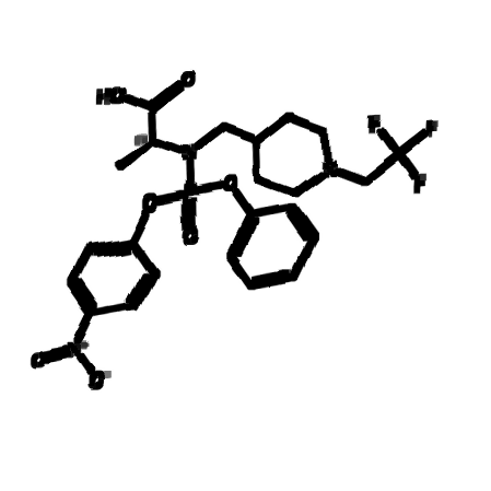 C[C@@H](C(=O)O)N(CC1CCN(CC(F)(F)F)CC1)P(=O)(Oc1ccccc1)Oc1ccc([N+](=O)[O-])cc1